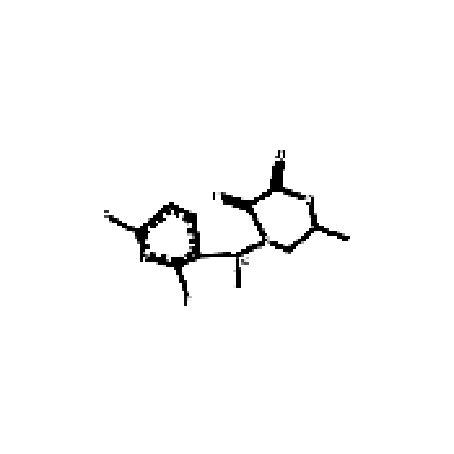 CC1CN([C@@H](C)c2ccc(F)nc2F)C(=O)C(=O)O1